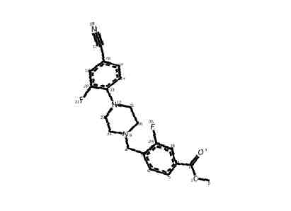 COC(=O)c1ccc(CN2CCN(c3ccc(C#N)cc3F)CC2)c(F)c1